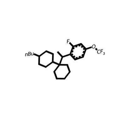 CCCCC1CCC(C2(C(C)c3ccc(OC(F)(F)F)cc3F)CCCCC2)CC1